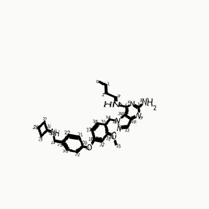 CCCCNc1nc(N)nc2cnn(Cc3ccc(Oc4ccc(CNC5CCC5)cc4)cc3OC)c12